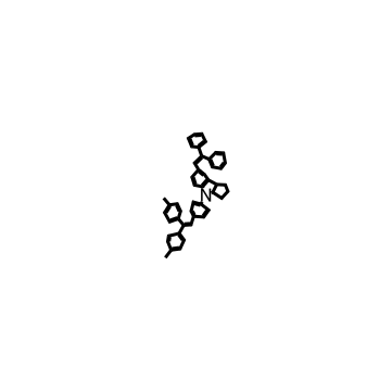 Cc1ccc(C(=Cc2ccc(N3c4ccc(C=C(c5ccccc5)c5ccccc5)cc4C4CCCC43)cc2)c2ccc(C)cc2)cc1